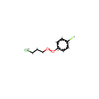 Fc1ccc(OOCCCCl)cc1